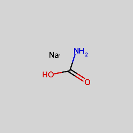 NC(=O)O.[Na]